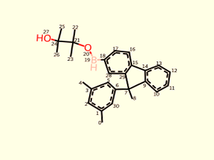 Cc1cc(C)cc(C2(C)c3ccccc3-c3ccc(BOC(C)(C)C(C)(C)O)cc32)c1